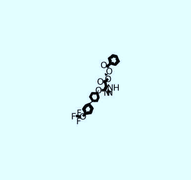 O=C(OCOC(=O)c1[nH]nnc1O[C@H]1CC[C@H](c2ccc(OC(F)(F)F)cc2)CC1)c1ccccc1